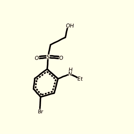 CCNc1cc(Br)ccc1S(=O)(=O)CCO